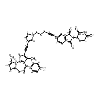 Cc1c(C#Cc2cnn(CCCC#Cc3ccc4c(c3)C(=O)N(C3CCC(=O)NC3=O)C4=O)c2)sc2c1C(c1ccc(Cl)cc1)=NCc1nnc(C)n1-2